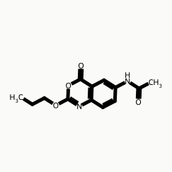 CCCOc1nc2ccc(NC(C)=O)cc2c(=O)o1